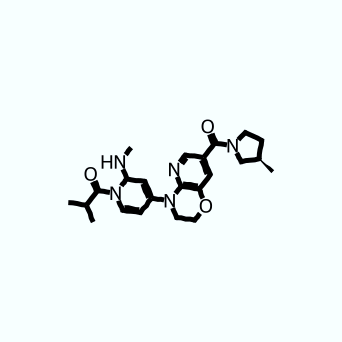 CNC1C=C(N2CCOc3cc(C(=O)N4CC[C@@H](C)C4)cnc32)C=CN1C(=O)C(C)C